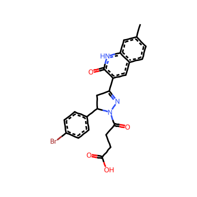 Cc1ccc2cc(C3=NN(C(=O)CCC(=O)O)C(c4ccc(Br)cc4)C3)c(=O)[nH]c2c1